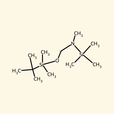 CN([CH]O[Si](C)(C)C(C)(C)C)[Si](C)(C)C